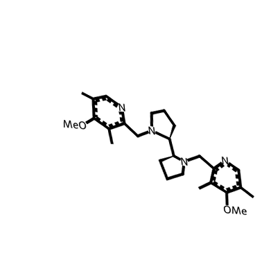 COc1c(C)cnc(CN2CCC[C@H]2[C@@H]2CCCN2Cc2ncc(C)c(OC)c2C)c1C